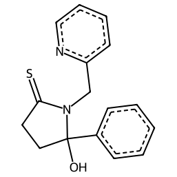 OC1(c2ccccc2)CCC(=S)N1Cc1ccccn1